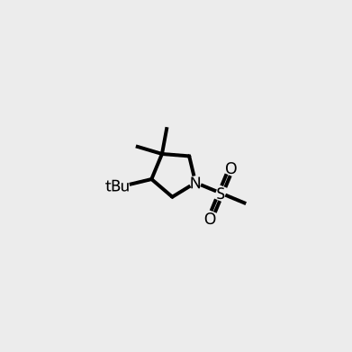 CC(C)(C)C1CN(S(C)(=O)=O)CC1(C)C